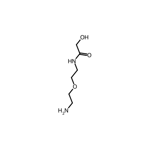 NCCOCCNC(=O)CO